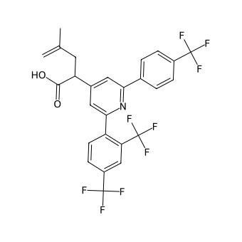 C=C(C)CC(C(=O)O)c1cc(-c2ccc(C(F)(F)F)cc2)nc(-c2ccc(C(F)(F)F)cc2C(F)(F)F)c1